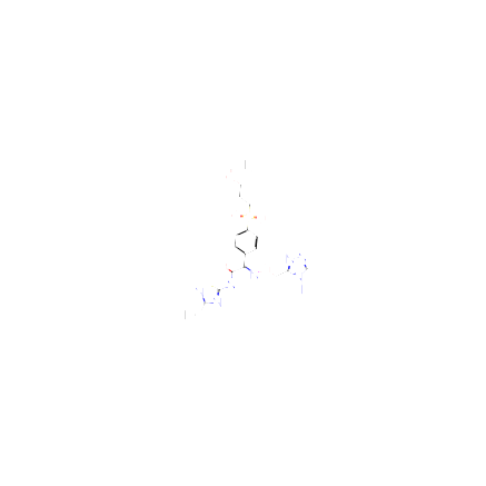 COCCCS(=O)(=O)c1ccc(/C(=N\OCc2nnc[nH]2)C(=O)Nc2nc(C)ns2)cc1